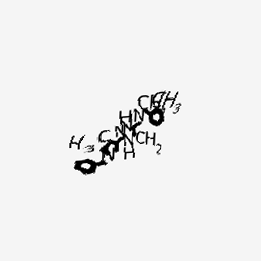 C=C1NC(C2CN(Cc3ccccc3)CC2C)=NN=C1CNC(=C)c1ccccc1C